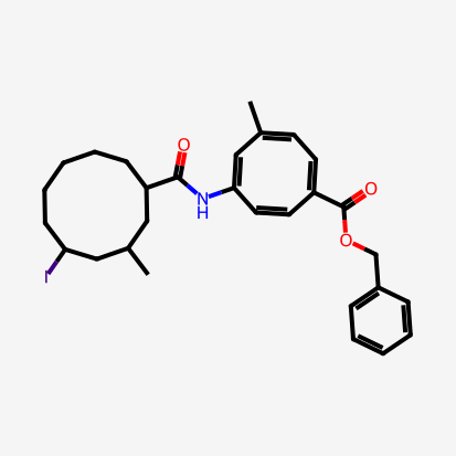 CC1=C/C=C(C(=O)OCc2ccccc2)\C=C/C(NC(=O)C2CCCCCC(I)CC(C)C2)=C\1